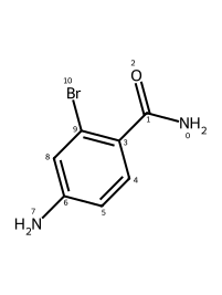 NC(=O)c1ccc(N)cc1Br